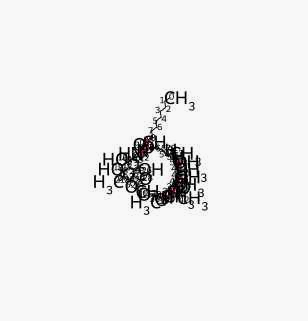 CCCCCCCCCCO/N=C/c1c2c(O)c3c(O)c(C)c4c(c3c1O)C(=O)[C@@](C)(O/C=C/[C@H](OC)[C@@H](C)[C@@H](OC(C)=O)[C@H](C)[C@H](O)[C@H](C)[C@@H](O)[C@@H](C)/C=C/C=C(/C)C(=O)N2)O4